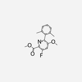 COC(=O)c1nc(-c2c(C)cccc2C)c(OC)cc1F